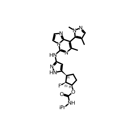 Cc1cnn(C)c1-c1c(C)nc(Nc2cc([C@H]3CC[C@@H](OC(=O)NC(C)C)[C@H]3F)[nH]n2)n2ccnc12